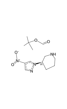 CC(C)(C)OC=O.O=[N+]([O-])c1cnn([C@@H]2CCCNC2)c1